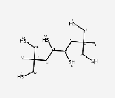 CC(CS)(CS)CC(S)C(S)CC(C)(CS)CS